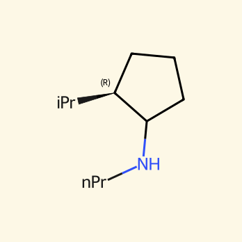 CCCNC1CCC[C@@H]1C(C)C